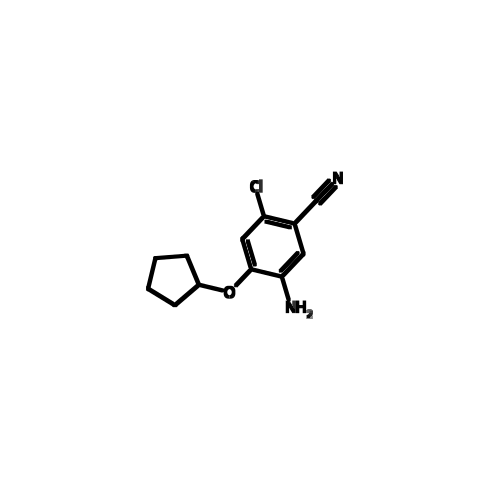 N#Cc1cc(N)c(OC2CCCC2)cc1Cl